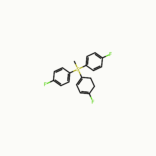 CS(C1=CC=C(F)CC1)(c1ccc(F)cc1)c1ccc(F)cc1